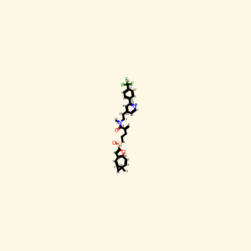 C=C(CCC[S+]([O-])c1cc2c(o1)C=CC1(C)CC1=C2)C(=O)N(C)CCc1ccnc(-c2ccc(C(F)(F)F)cc2)c1